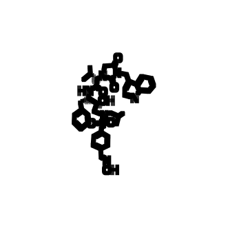 CC(C)CN(C[C@H](O)[C@H](Cc1ccccc1)NC(=O)[C@H](C(C)C)N1CC(=O)N(Cc2ccnc3ccccc23)C1=O)S(=O)(=O)c1ccc(C=NO)cc1